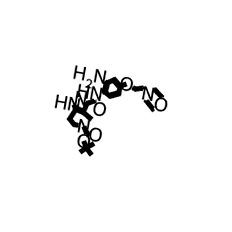 CC(C)(C)OC(=O)N1CCc2[nH]nc(C(=O)Nc3ccc(OCCN4CCOCC4)cc3N)c2C1